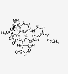 CCCN1CCN(c2ccc(C(N)=O)c([C@@H](C(=O)N3C[C@@H](O)[C@H]4OCC(=O)[C@H]43)C(C)(C)C)c2)CC1